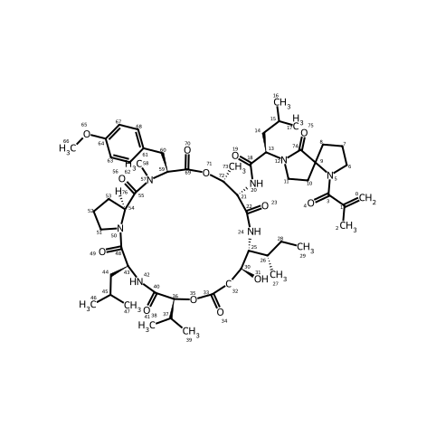 C=C(C)C(=O)N1CCCC12CCN([C@H](CC(C)C)C(=O)N[C@@H]1C(=O)N[C@H]([C@@H](C)CC)[C@@H](O)CC(=O)O[C@@H](C(C)C)C(=O)N[C@@H](CC(C)C)C(=O)N3CCC[C@H]3C(=O)N(C)[C@@H](Cc3ccc(OC)cc3)C(=O)O[C@@H]1C)C2=O